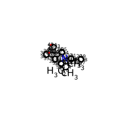 CC1(C)CCC(C)(C)c2c(N(c3ccc(-c4ccccc4)cc3)c3cccc4c3-c3cccc(-c5ccccc5)c3C43C4CC5CC6CC3C64C5)cccc21